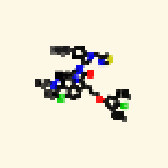 Cc1cc(OCCCc2c3n(c4c(-c5c(C)nn(C)c5C)c(Cl)ccc24)C(C)CN(c2cn(Cc4cscn4)c4ccc(C(=O)O)cc24)C3=O)cc(C)c1Cl